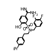 CC(C)c1ccc(CCN(Cc2ccc(F)c(F)c2)S(=O)(=O)c2cc(C(=N)N)ccc2O)cc1